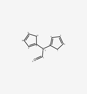 O=CN(C1=CC=CC1)C1=CC=CC1